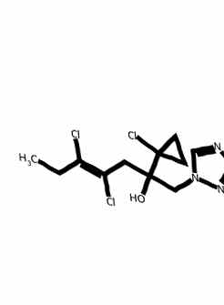 CC/C(Cl)=C(\Cl)CC(O)(Cn1cncn1)C1(Cl)CC1